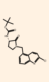 CC(C)(C)OC(=O)N[C@H]1CCN(Cc2cccc3nc(Cl)ccc23)C1=O